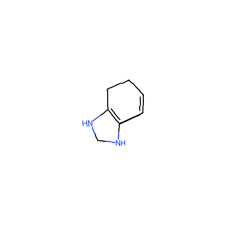 C1=CC2=C(CC1)NCN2